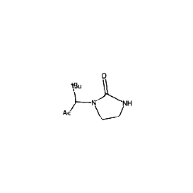 CC(=O)C(N1CCNC1=O)C(C)(C)C